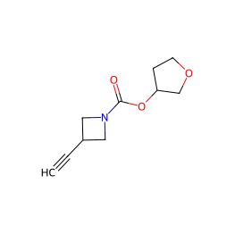 C#CC1CN(C(=O)OC2CCOC2)C1